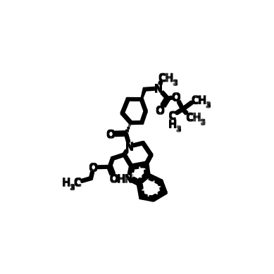 CCOC(=O)CC1c2[nH]c3ccccc3c2CCN1C(=O)[C@H]1CC[C@H](CN(C)C(=O)OC(C)(C)C)CC1